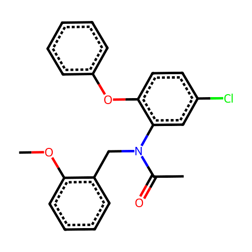 COc1ccccc1CN(C(C)=O)c1cc(Cl)ccc1Oc1ccccc1